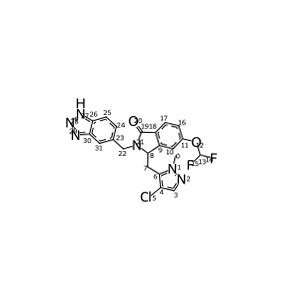 Cn1ncc(Cl)c1CC1c2cc(OC(F)F)ccc2C(=O)N1Cc1ccc2[nH]nnc2c1